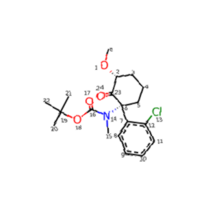 CO[C@@H]1CCC[C@](c2ccccc2Cl)(N(C)C(=O)OC(C)(C)C)C1=O